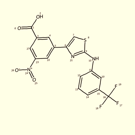 O=C(O)c1cc(-c2csc(Nc3cccc(C(F)(F)F)c3)n2)cc([N+](=O)[O-])c1